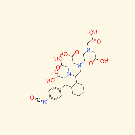 O=C=Nc1ccc(CC2CCCCC2C(CN(CCN(CC(=O)O)CC(=O)O)CC(=O)O)N(CC(=O)O)CC(=O)O)cc1